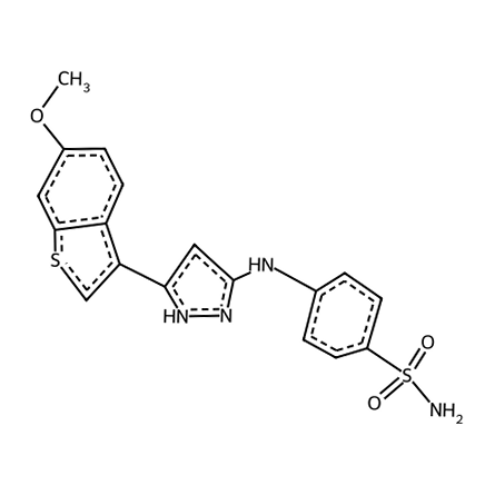 COc1ccc2c(-c3cc(Nc4ccc(S(N)(=O)=O)cc4)n[nH]3)csc2c1